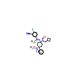 CN(C[C@]1(N(C=O)CC2CCC2)CC[C@@](c2ccccc2)(N(C)C)CC1)c1ccc(F)c(C#N)c1